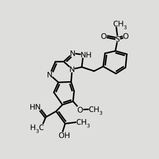 COc1cc2c(cc1/C(C(C)=N)=C(\C)O)N=CC1=NNC(Cc3cccc(S(C)(=O)=O)c3)N12